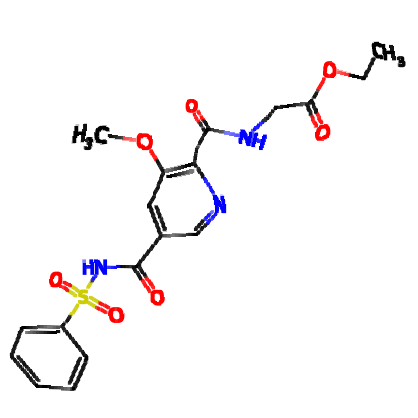 CCOC(=O)CNC(=O)c1ncc(C(=O)NS(=O)(=O)c2ccccc2)cc1OC